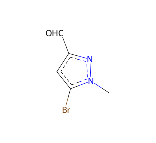 Cn1nc(C=O)cc1Br